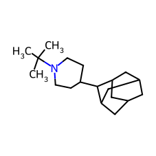 CC(C)(C)N1CCC(C2C3CC4CC(C3)CC2C4)CC1